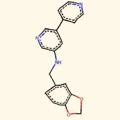 c1cc(-c2cncc(NCc3ccc4c(c3)OCO4)c2)ccn1